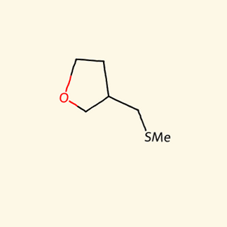 CSCC1CCOC1